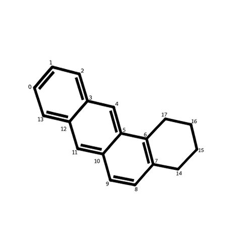 c1ccc2cc3c4c(ccc3cc2c1)CCCC4